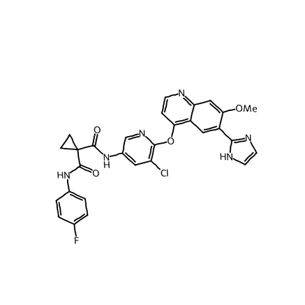 COc1cc2nccc(Oc3ncc(NC(=O)C4(C(=O)Nc5ccc(F)cc5)CC4)cc3Cl)c2cc1-c1ncc[nH]1